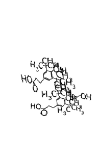 CC(C)(C)c1cc(CCC(=O)O)cc(C(C)(C)C)c1O.CC(C)(C)c1cc(CCC(=O)O)cc(C(C)(C)C)c1O.OCC=S